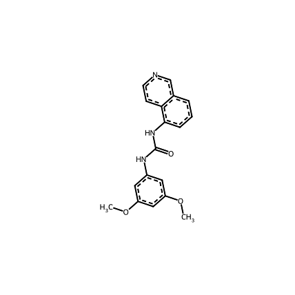 COc1cc(NC(=O)Nc2cccc3cnccc23)cc(OC)c1